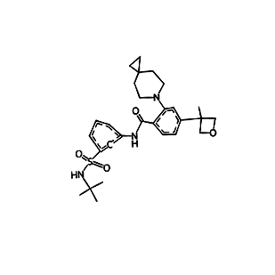 CC(C)(C)NS(=O)(=O)c1cccc(NC(=O)c2ccc(C3(C)COC3)cc2N2CCC3(CC2)CC3)c1